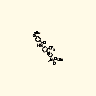 CCCCOc1ccc(C(=O)Nc2ccc(N3CCC(N(C)C(=O)OC(C)(C)C)C3)c(C(F)(F)F)c2)cc1